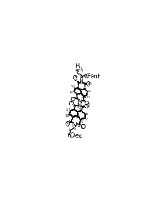 CCCCCCCCCCCCN1C(=O)c2ccc3c4c(ccc(c24)C1=O)C(=O)N(N1C(=O)c2ccc4c5c(ccc(c25)C1=O)C(=O)N(C(C)CCCCC)C4=O)C3=O